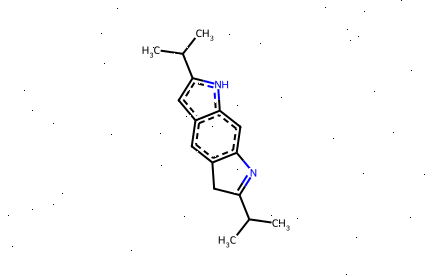 CC(C)C1=Nc2cc3[nH]c(C(C)C)cc3cc2C1